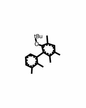 Cc1cccc(-c2c(C)c(C)cc(C)c2OC(C)(C)C)c1C